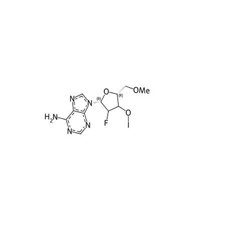 COC[C@H]1O[C@@H](n2cnc3c(N)ncnc32)C(F)C1OI